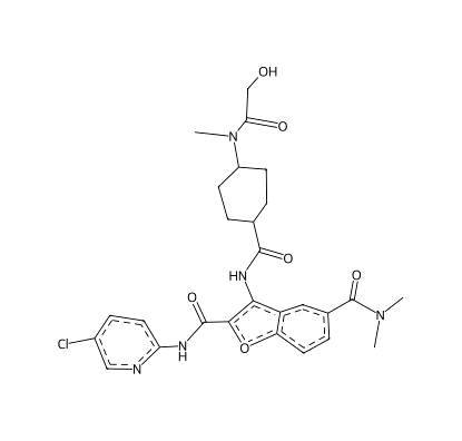 CN(C)C(=O)c1ccc2oc(C(=O)Nc3ccc(Cl)cn3)c(NC(=O)C3CCC(N(C)C(=O)CO)CC3)c2c1